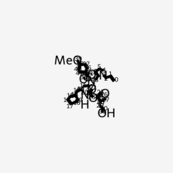 C=CCN1CCCC1CN(CC[C@H](Cc1ccccc1)NC(=O)O[C@H]1COC[C@H]1CCO)S(=O)(=O)c1ccc(OC)cc1